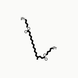 CC(C)CCCCOC(=O)CCCCCCCCCCCCC(C)CCC(=O)OCCCCC(C)C